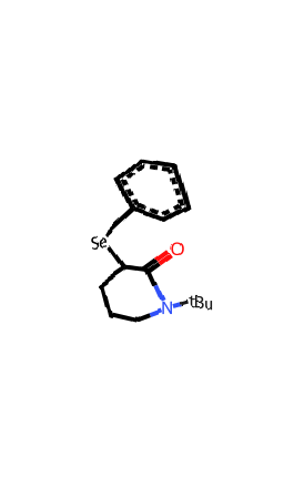 CC(C)(C)N1CCCC([Se]c2ccccc2)C1=O